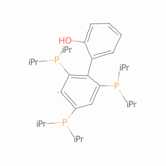 CC(C)P(c1[c]c(P(C(C)C)C(C)C)c(-c2ccccc2O)c(P(C(C)C)C(C)C)c1)C(C)C